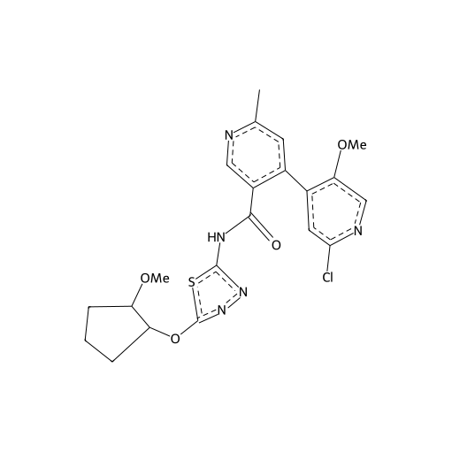 COc1cnc(Cl)cc1-c1cc(C)ncc1C(=O)Nc1nnc(OC2CCCC2OC)s1